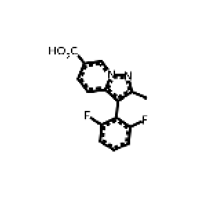 Cc1nn2cc(C(=O)O)ccc2c1-c1c(F)cccc1F